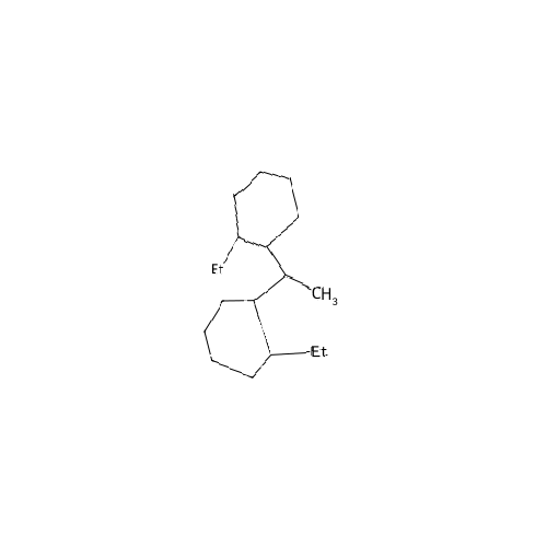 CCC1CCCCC1C(C)C1CCCCC1CC